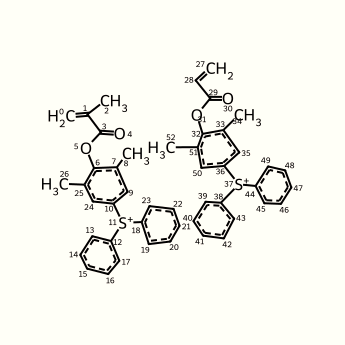 C=C(C)C(=O)Oc1c(C)cc([S+](c2ccccc2)c2ccccc2)cc1C.C=CC(=O)Oc1c(C)cc([S+](c2ccccc2)c2ccccc2)cc1C